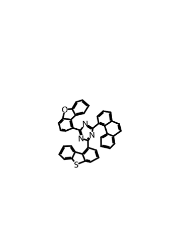 c1ccc2c(c1)ccc1cccc(-c3nc(-c4cccc5oc6ccccc6c45)nc(-c4cccc5sc6ccccc6c45)n3)c12